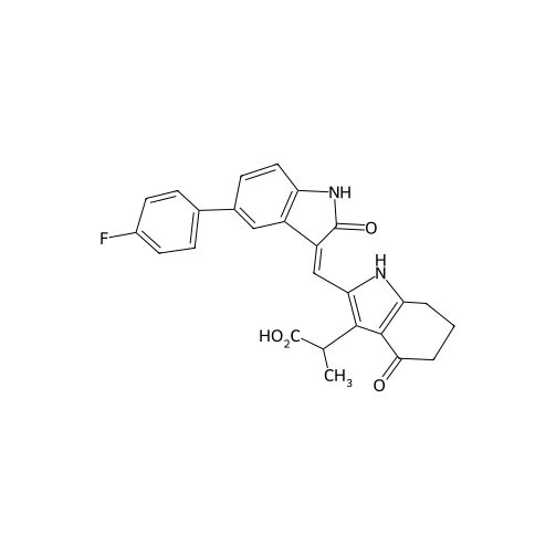 CC(C(=O)O)c1c(/C=C2\C(=O)Nc3ccc(-c4ccc(F)cc4)cc32)[nH]c2c1C(=O)CCC2